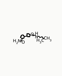 CC(C)CCCNCCOc1ccc(-c2cccc(C(N)=O)c2)cc1